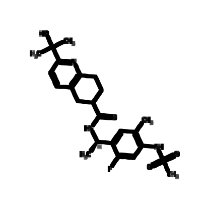 Cc1cc([C@@H](C)NC(=O)C2CCc3nc(C(C)(C)O)ccc3C2)c(F)cc1NS(C)(=O)=O